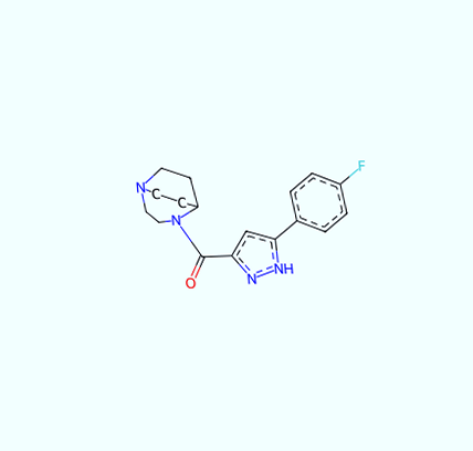 O=C(c1cc(-c2ccc(F)cc2)[nH]n1)N1CCN2CCC1CC2